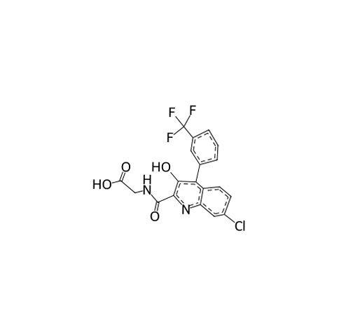 O=C(O)CNC(=O)c1nc2cc(Cl)ccc2c(-c2cccc(C(F)(F)F)c2)c1O